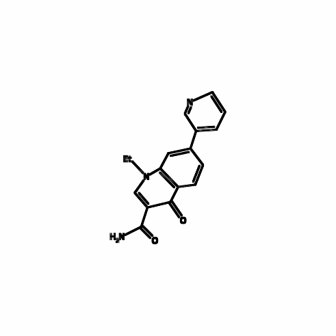 CCn1cc(C(N)=O)c(=O)c2ccc(-c3cccnc3)cc21